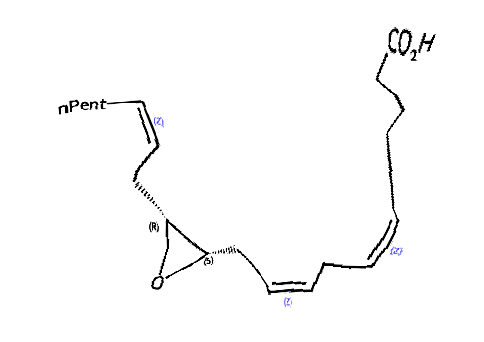 CCCCC/C=C\C[C@H]1O[C@H]1C/C=C\C/C=C\CCCC(=O)O